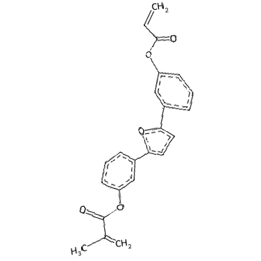 C=CC(=O)Oc1cccc(-c2ccc(-c3cccc(OC(=O)C(=C)C)c3)o2)c1